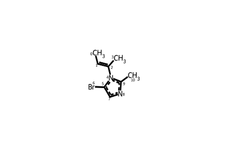 CC=C(C)n1c(Br)cnc1C